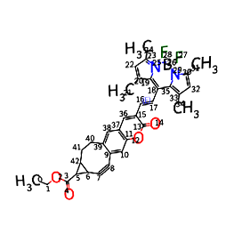 CCOC(=O)C1C2C#Cc3cc4oc(=O)c(/C=C/C5=C6C(C)=CC(C)=[N+]6[B-](F)(F)n6c(C)cc(C)c65)cc4cc3CCC21